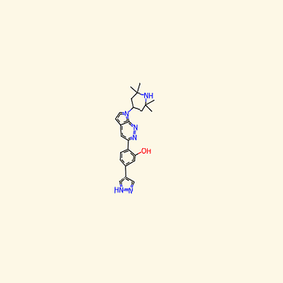 CC1(C)CC(n2ccc3cc(-c4ccc(-c5cn[nH]c5)cc4O)nnc32)CC(C)(C)N1